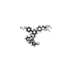 Cc1ccc(-c2cc(CNC(=O)[C@@H]3C=CCN3S(=O)(=O)c3ccc(Cl)s3)cc(N3CCN(CC(C)C)CC3)n2)cc1